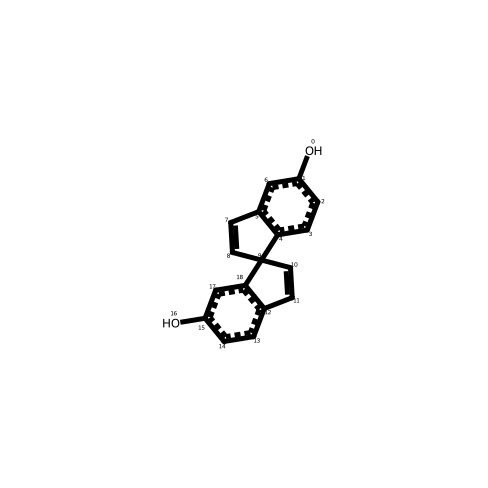 Oc1ccc2c(c1)C=CC21C=Cc2ccc(O)cc21